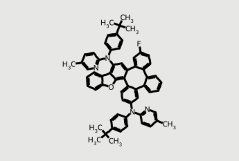 Cc1ccc(N(c2ccc(C(C)(C)C)cc2)c2ccc3c(c2)-c2ccccc2-c2ccc(F)cc2-c2cc(N(c4ccc(C(C)(C)C)cc4)c4ccc(C)cn4)c4c(oc5ccccc54)c2-3)nc1